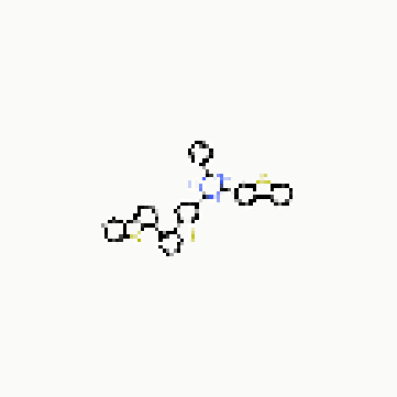 c1ccc(C2NC(c3ccc4c(c3)sc3cccc(-c5cccc6c5sc5ccccc56)c34)=NC(c3ccc4c(c3)sc3ccccc34)N2)cc1